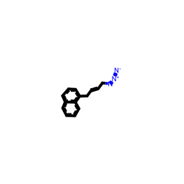 [N-]=[N+]=NCC=CCc1cccc2ccccc12